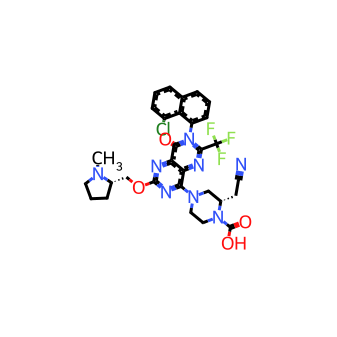 CN1CCC[C@H]1COc1nc(N2CCN(C(=O)O)[C@@H](CC#N)C2)c2nc(C(F)(F)F)n(-c3cccc4cccc(Cl)c34)c(=O)c2n1